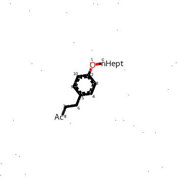 CCCCCCCOc1ccc(CCC(C)=O)cc1